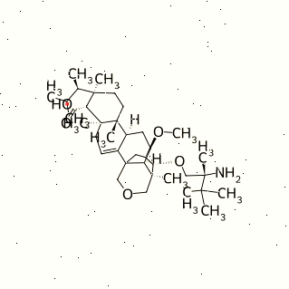 CO[C@@H]1CC23COC[C@@](C)([C@@H]2CC[C@H]2C3=CC[C@@]3(C)[C@H](C(=O)O)[C@@](C)([C@H](C)C(C)C)CC[C@]23C)[C@H]1OC[C@](C)(N)C(C)(C)C